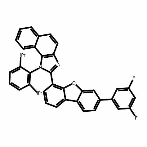 CC(C)c1cccc(C(C)C)c1-n1c(-c2cccc3c2oc2cc(-c4cc(F)cc(F)c4)ccc23)nc2ccc3ccccc3c21